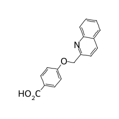 O=C(O)c1ccc(OCc2ccc3ccccc3n2)cc1